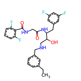 CCc1cccc(CNCC(O)C(Cc2cc(F)cc(F)c2)NC(=O)CNC(=O)c2c(F)cccc2F)c1